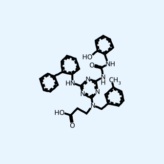 Cc1cccc(CN(CCC(=O)O)c2nc(NC(=O)Nc3ccccc3O)nc(Nc3ccccc3-c3ccccc3)n2)c1